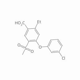 CCc1cc(Oc2cccc(Cl)c2)c(S(C)(=O)=O)cc1C(=O)O